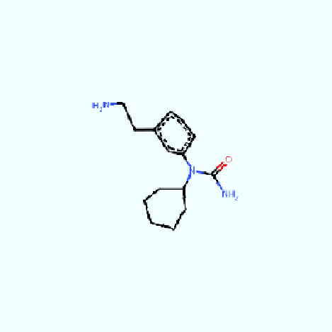 NCCc1cccc(N(C(N)=O)C2CCCCC2)c1